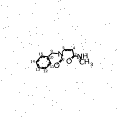 CNC(=O)/C=C\N(C=O)Cc1ccccc1